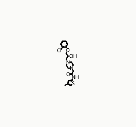 Cc1csc(NC(=O)CN2CCN(CC(O)COc3ccccc3Cl)CC2)c1